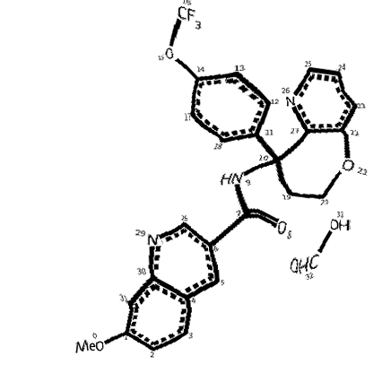 COc1ccc2cc(C(=O)NC3(c4ccc(OC(F)(F)F)cc4)CCOc4cccnc43)cnc2c1.O=CO